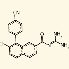 N#Cc1ccc(-c2c(Cl)ccc3ccc(C(=O)N=C(N)N)cc23)cc1